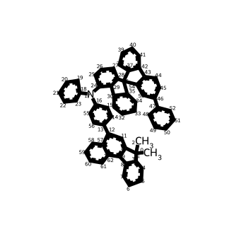 CC1(C)c2ccccc2-c2c1cc(-c1ccc(N(c3ccccc3)c3cccc4c3-c3ccccc3C43c4ccccc4-c4ccc(-c5ccccc5)cc43)cc1)c1ccccc21